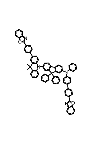 CC1(C)c2ccccc2N(c2ccc3c(c2)C(c2ccccc2)(c2ccccc2)c2cc(N(c4ccccc4)c4ccc(-c5ccc(-c6nc7ccccc7o6)cc5)cc4)ccc2-3)c2ccc(-c3ccc(-c4nc5ccccc5o4)cc3)cc21